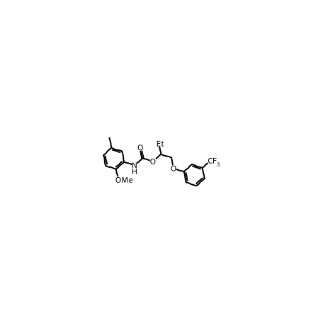 CCC(COc1cccc(C(F)(F)F)c1)OC(=O)Nc1cc(C)ccc1OC